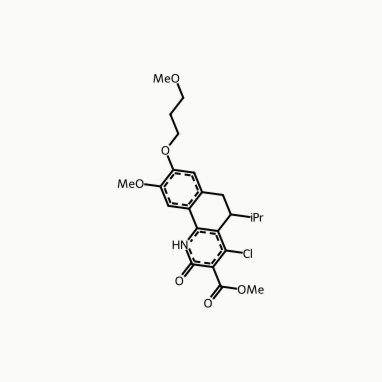 COCCCOc1cc2c(cc1OC)-c1[nH]c(=O)c(C(=O)OC)c(Cl)c1C(C(C)C)C2